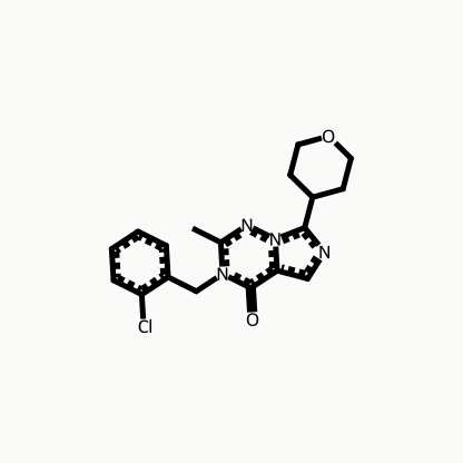 Cc1nn2c(C3CCOCC3)ncc2c(=O)n1Cc1ccccc1Cl